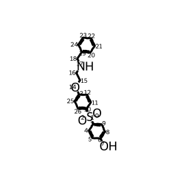 O=S(=O)(c1ccc(O)cc1)c1ccc(OCCNCc2ccccc2)cc1